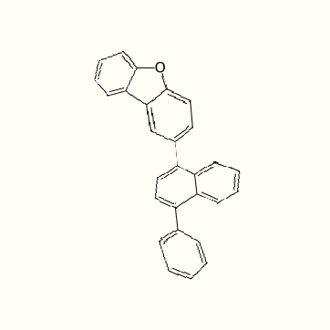 c1ccc(-c2ccc(-c3ccc4oc5ccccc5c4c3)c3ccccc23)cc1